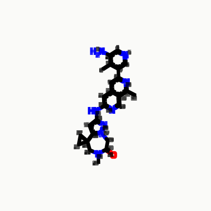 Cc1c(N)cncc1-c1cc2cc(Nc3cc4n(n3)CC(=O)N(C)CC43CC3)ncc2c(C)n1